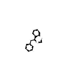 c1ccc(Cc2ncnc3ccccc23)cc1